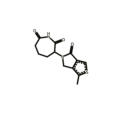 Cc1scc2c1CN(C1CCCC(=O)NC1=O)C2=O